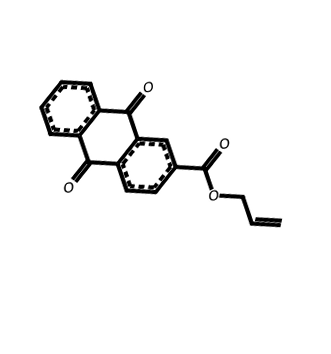 C=CCOC(=O)c1ccc2c(c1)C(=O)c1ccccc1C2=O